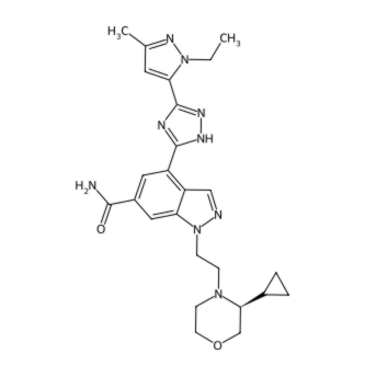 CCn1nc(C)cc1-c1n[nH]c(-c2cc(C(N)=O)cc3c2cnn3CCN2CCOC[C@@H]2C2CC2)n1